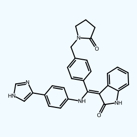 O=C1Nc2ccccc2/C1=C(/Nc1ccc(-c2c[nH]cn2)cc1)c1ccc(CN2CCCC2=O)cc1